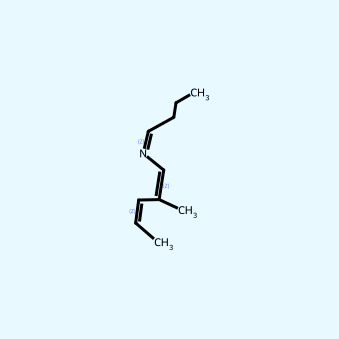 C\C=C/C(C)=C\N=C/CCC